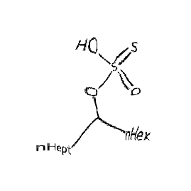 CCCCCCCC(CCCCCC)OS(=O)(O)=S